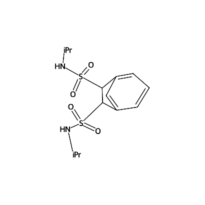 CC(C)NS(=O)(=O)C1c2cccc(c2)C1S(=O)(=O)NC(C)C